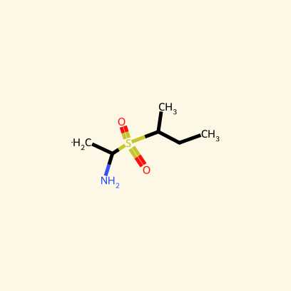 [CH2]C(N)S(=O)(=O)C(C)CC